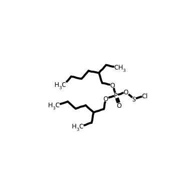 CCCCC(CC)COP(=O)(OCC(CC)CCCC)OSCl